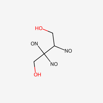 O=NC(CO)C(CO)(N=O)N=O